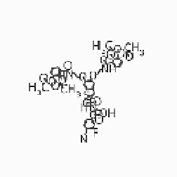 CC(=O)Oc1cccc(C(=O)NCCOc2cc3cc(S(=O)(=O)NCP(=O)(O)Oc4ccc(C#N)c(F)c4)sc3cc2OCCNC(=O)c2cccc(OC(C)=O)c2OC(C)=O)c1OC(C)=O